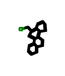 ClCc1cc2c3ccccc3ccc2c2ccccc12